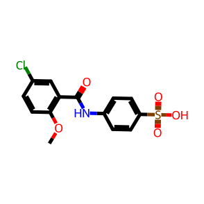 COc1ccc(Cl)cc1C(=O)Nc1ccc(S(=O)(=O)O)cc1